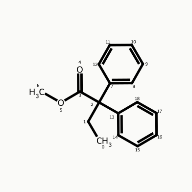 CCC(C(=O)OC)(c1ccccc1)c1ccccc1